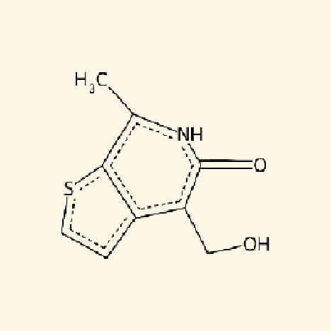 Cc1[nH]c(=O)c(CO)c2ccsc12